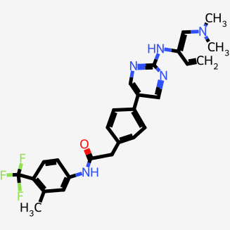 C=C/C(=C\N(C)C)Nc1ncc(-c2ccc(CC(=O)Nc3ccc(C(F)(F)F)c(C)c3)cc2)cn1